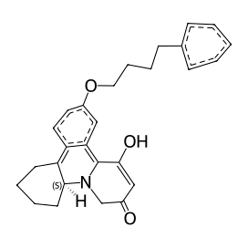 O=C1C=C(O)C2=c3cc(OCCCCc4ccccc4)ccc3=C3CCCC[C@@H]3N2C1